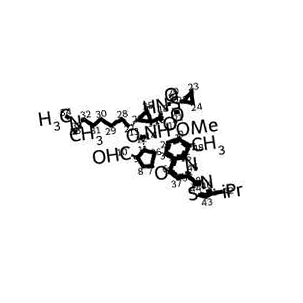 COc1ccc2c(O[C@H]3C[C@@H](C=O)[C@H](C(=O)N[C@]4(C(=O)NS(=O)(=O)C5CC5)C[C@H]4CCCCCCN(C)C)C3)cc(-c3nc(C(C)C)cs3)nc2c1C